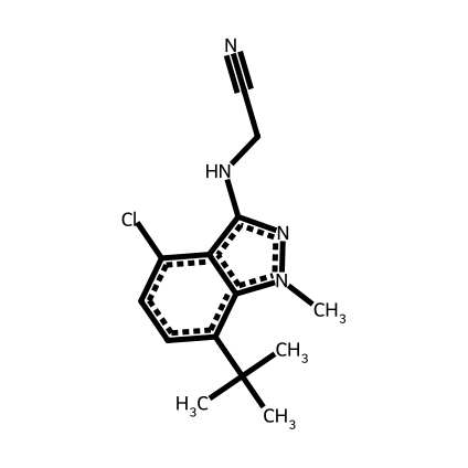 Cn1nc(NCC#N)c2c(Cl)ccc(C(C)(C)C)c21